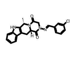 C[C@H]1c2[nH]c3ccccc3c2C[C@H]2C(=O)N(/N=C/c3cccc(Cl)c3)CC(=O)N21